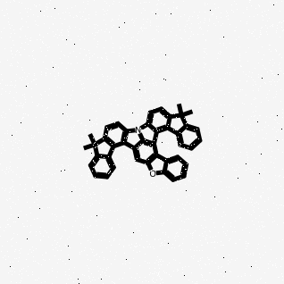 CC1(C)c2ccccc2-c2c1ccc1c2c2cc3oc4ccccc4c3c3c4c5c(ccc4n1c23)C(C)(C)c1ccccc1-5